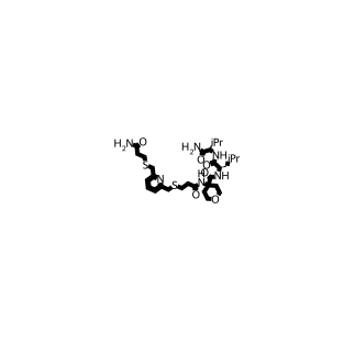 CC(C)C[C@H](NC(=O)C1(NC(=O)CCSCc2cccc(CSCCC(N)=O)n2)CCOCC1)C(=O)N[C@H](C(N)=O)C(C)C